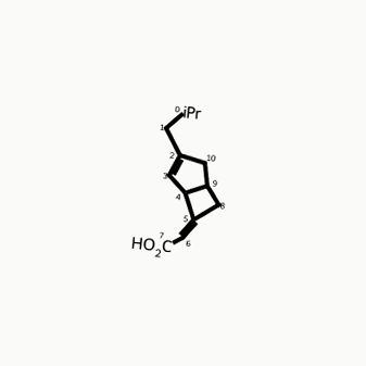 CC(C)CC1=CC2C(=CC(=O)O)CC2C1